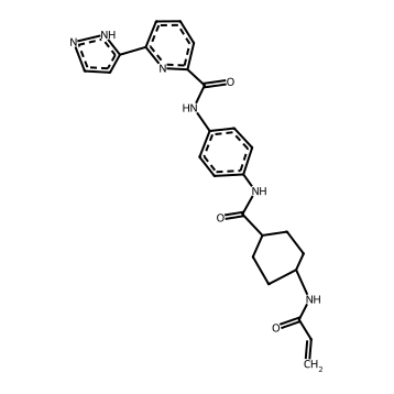 C=CC(=O)NC1CCC(C(=O)Nc2ccc(NC(=O)c3cccc(-c4ccn[nH]4)n3)cc2)CC1